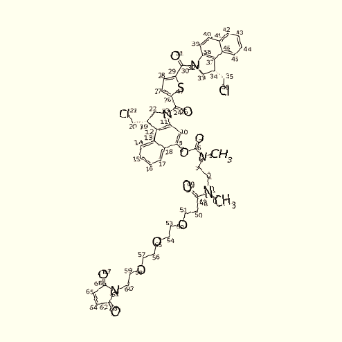 CN(CCN(C)C(=O)Oc1cc2c(c3ccccc13)[C@H](CCl)CN2C(=O)c1ccc(C(=O)N2C[C@@H](CCl)c3c2c[c]c2ccccc32)s1)C(=O)CCOCCOCCOCCN1C(=O)C=CC1=O